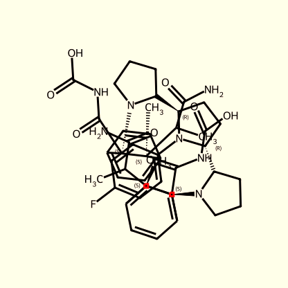 CC(C(N)=O)[C@@]1(C)c2ccc(cc2)[C@]1(C(=O)NC(=O)O)N1CCCC1[C@H]1CC[C@H](C2CCCN2[C@@]2(C(=O)NC(=O)O)c3ccc(cc3)[C@]2(C)C(C)C(N)=O)N1c1ccc(F)cc1